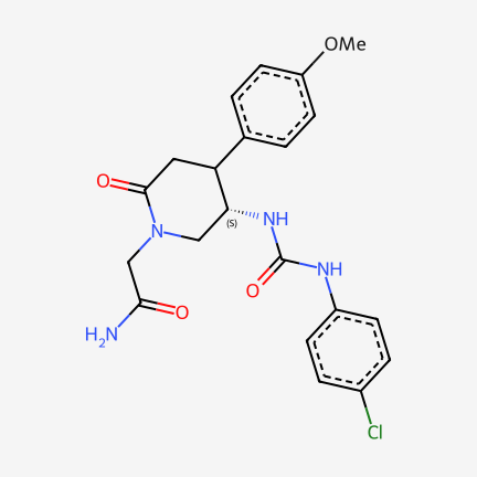 COc1ccc(C2CC(=O)N(CC(N)=O)C[C@H]2NC(=O)Nc2ccc(Cl)cc2)cc1